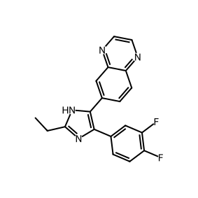 CCc1nc(-c2ccc(F)c(F)c2)c(-c2ccc3nccnc3c2)[nH]1